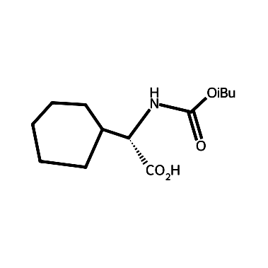 CC(C)COC(=O)N[C@H](C(=O)O)C1CCCCC1